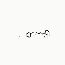 COc1ccc(CNC(=O)C=Cc2n[nH]c3ncccc23)cc1